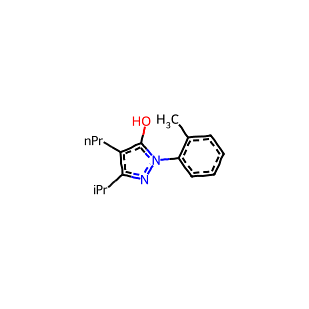 CCCc1c(C(C)C)nn(-c2ccccc2C)c1O